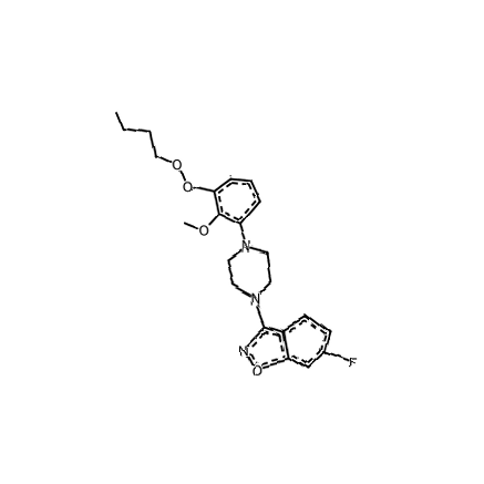 CCCCOOc1[c]ccc(N2CCN(c3noc4cc(F)ccc34)CC2)c1OC